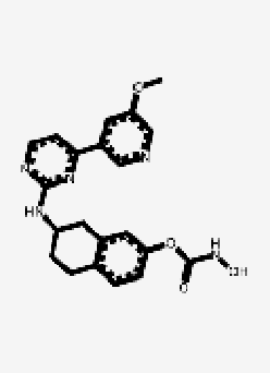 COc1cncc(-c2ccnc(NC3CCc4ccc(OC(=O)NO)cc4C3)n2)c1